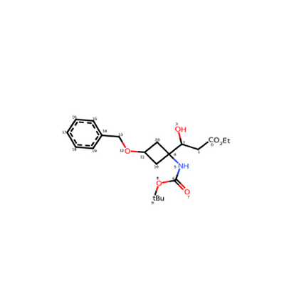 CCOC(=O)CC(O)C1(NC(=O)OC(C)(C)C)CC(OCc2ccccc2)C1